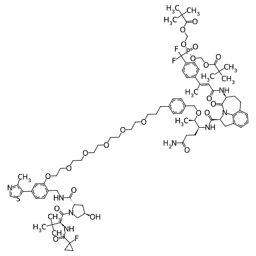 C/C(=C\C(=O)N[C@H]1CCc2cccc3c2N(C1=O)[C@H](C(=O)N[C@@H](CCC(N)=O)[C@@H](C)OCc1ccc(CCCOCCOCCOCCOCCOCCOc2cc(-c4scnc4C)ccc2CNC(=O)[C@@H]2C[C@@H](O)CN2C(=O)[C@@H](NC(=O)C2(F)CC2)C(C)(C)C)cc1)C3)c1ccc(C(F)(F)P(=O)(OCOC(=O)C(C)(C)C)OCOC(=O)C(C)(C)C)cc1